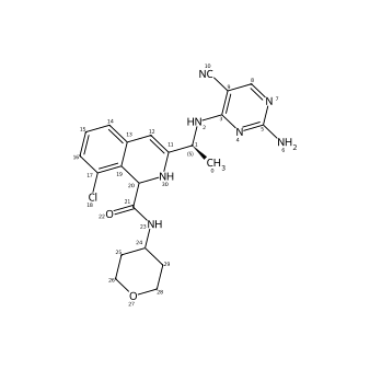 C[C@H](Nc1nc(N)ncc1C#N)C1=Cc2cccc(Cl)c2C(C(=O)NC2CCOCC2)N1